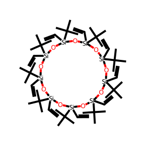 C=C[Si]1(C(C)(C)C)O[Si](C=C)(C(C)(C)C)O[Si](C=C)(C(C)(C)C)O[Si](C=C)(C(C)(C)C)O[Si](C=C)(C(C)(C)C)O[Si](C=C)(C(C)(C)C)O[Si](C=C)(C(C)(C)C)O[Si](C=C)(C(C)(C)C)O[Si](C=C)(C(C)(C)C)O1